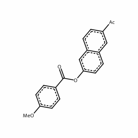 COc1ccc(C(=O)Oc2ccc3cc(C(C)=O)ccc3c2)cc1